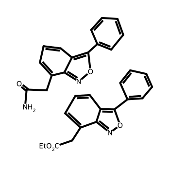 CCOC(=O)Cc1cccc2c(-c3ccccc3)onc12.NC(=O)Cc1cccc2c(-c3ccccc3)onc12